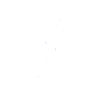 CN1CCC(NCCCONCc2ccn3c(-c4cccc(NC(=O)NCC(F)(F)F)c4)cnc3c2)CC1